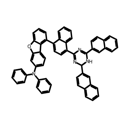 c1ccc(N(c2ccccc2)c2ccc3c(c2)oc2cccc(-c4ccc(C5=NC(c6ccc7ccccc7c6)NC(c6ccc7ccccc7c6)=N5)c5ccccc45)c23)cc1